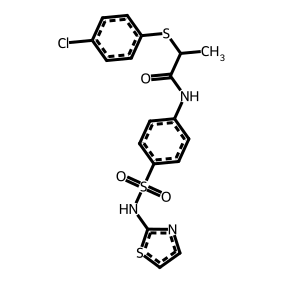 CC(Sc1ccc(Cl)cc1)C(=O)Nc1ccc(S(=O)(=O)Nc2nccs2)cc1